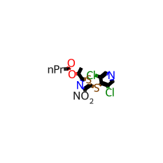 CCCC(=O)OC(C)c1nc([N+](=O)[O-])c(Sc2c(Cl)cncc2Cl)s1